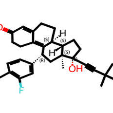 Cc1ccc([C@H]2C[C@@]3(C)[C@@H](CC[C@@]3(O)C#CC(C)(C)C)[C@@H]3CCC4=CC(=O)CCC4=C32)cc1F